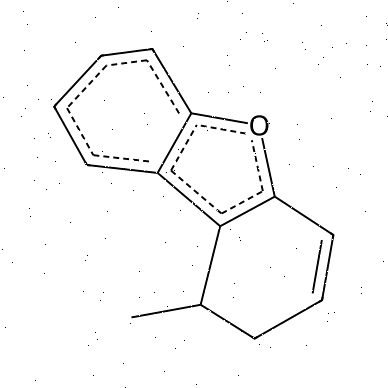 CC1CC=Cc2oc3ccccc3c21